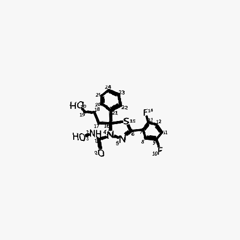 O=C(NO)N1N=C(c2cc(F)ccc2F)SC1(CCCO)c1ccccc1